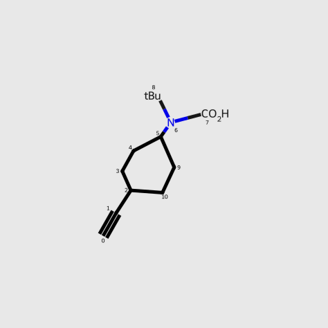 C#CC1CCC(N(C(=O)O)C(C)(C)C)CC1